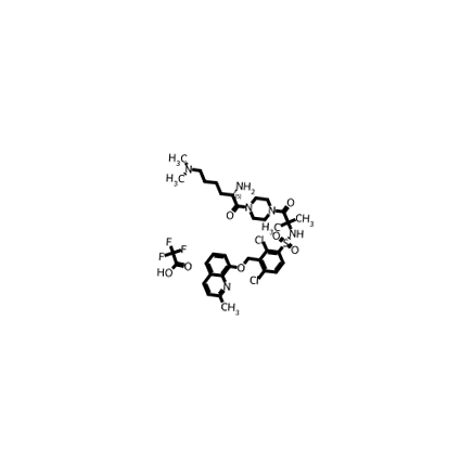 Cc1ccc2cccc(OCc3c(Cl)ccc(S(=O)(=O)NC(C)(C)C(=O)N4CCN(C(=O)[C@@H](N)CCCCN(C)C)CC4)c3Cl)c2n1.O=C(O)C(F)(F)F